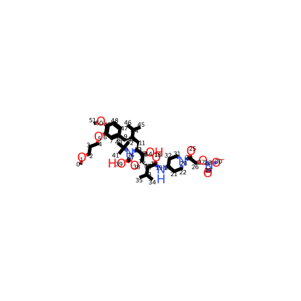 COCCCOc1cc(C[C@H](C[C@@H]([C@H](O)C[C@H](C(=O)NC2CCN(C(=O)CO[N+](=O)[O-])CC2)C(C)C)N(C(=O)O)C(C)(C)C)C(C)C)ccc1OC